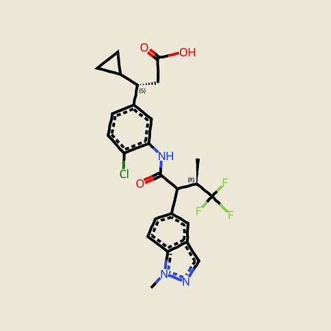 C[C@H](C(C(=O)Nc1cc([C@@H](CC(=O)O)C2CC2)ccc1Cl)c1ccc2c(cnn2C)c1)C(F)(F)F